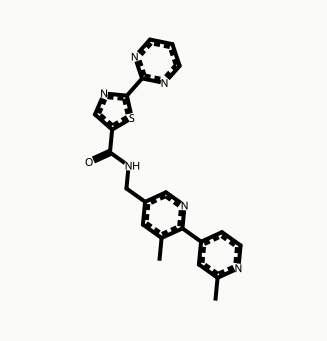 Cc1cc(-c2ncc(CNC(=O)c3cnc(-c4ncccn4)s3)cc2C)ccn1